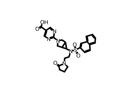 O=C(O)c1cnc(N2CC3C(C2)C3N(CCN2CCCC2=O)S(=O)(=O)c2ccc3ccccc3c2)nc1